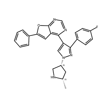 C[C@H]1C[C@@H](n2cc(-c3ncnc4oc(-c5ccccc5)cc34)c(-c3ccc(F)cc3)n2)CN1